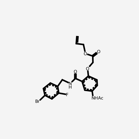 C=CCOC(=O)COc1ccc(NC(C)=O)cc1C(=O)NCc1ccc(Br)cc1F